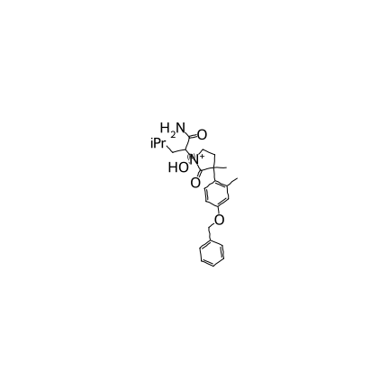 Cc1cc(OCc2ccccc2)ccc1C1(C)CC[N@@+](O)(C(CC(C)C)C(N)=O)C1=O